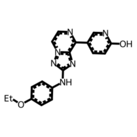 CCOc1ccc(Nc2nc3c(-c4ccc(O)nc4)nccn3n2)cc1